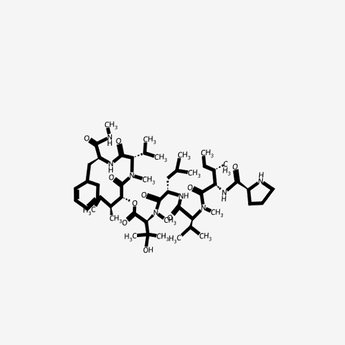 CC[C@H](C)[C@H](NC(=O)[C@@H]1CCCN1)C(=O)N(C)[C@H](C(=O)N[C@@H](CC(C)C)C(=O)N(C)[C@H](C(=O)O[C@@H](C(=O)N(C)[C@H](C(=O)N[C@@H](CC1C=CC=CC1)C(=O)NC)C(C)C)[C@@H](C)CC)C(C)(C)O)C(C)C